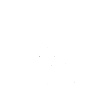 N#CC1(N2OC3CC2C(Br)C3Br)CCCCC1